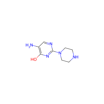 Nc1cnc(N2CCNCC2)nc1O